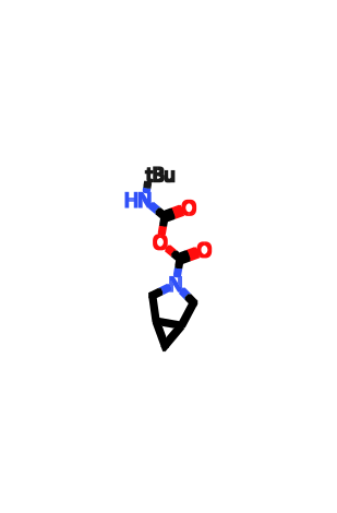 CC(C)(C)NC(=O)OC(=O)N1CC2CC2C1